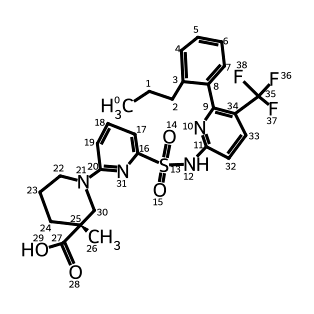 CCCc1ccccc1-c1nc(NS(=O)(=O)c2cccc(N3CCC[C@@](C)(C(=O)O)C3)n2)ccc1C(F)(F)F